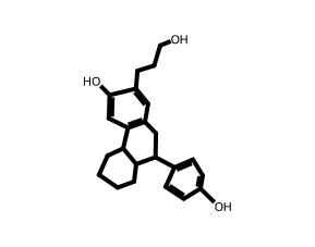 OCCCc1cc2c(cc1O)C1CCCCC1C(c1ccc(O)cc1)C2